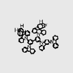 C[C@@H]1CC2C[C@@H](C1)C[C@@H](C)C21c2ccccc2N(c2cc(-c3cc(N4c5ccccc5C5(c6ccccc64)C4C[C@H]6C[C@@H](C4)C[C@@H]5C6)cc(-n4c5ccccc5c5ccccc54)c3)cc(-n3c4ccccc4c4cc(-n5c6ccccc6c6ccccc65)ccc43)c2)c2ccccc21